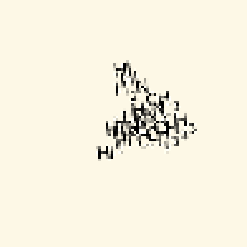 CN.CN.CN.CN.CN.I.I.I.I.I